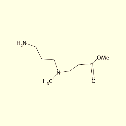 COC(=O)CCN(C)CCCN